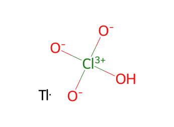 [O-][Cl+3]([O-])([O-])O.[Tl]